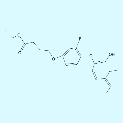 C\C=C(/C=C\C(=C\O)Oc1ccc(OCCCC(=O)OCC)cc1F)CC